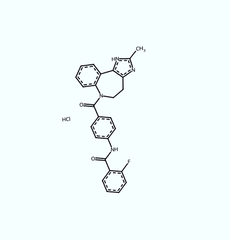 Cc1nc2c([nH]1)-c1ccccc1N(C(=O)c1ccc(NC(=O)c3ccccc3F)cc1)CC2.Cl